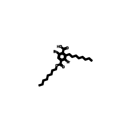 CCCCCCCCOC(=O)c1cc(Br)c(C(=O)O)c(CCCCCCCC)c1Br